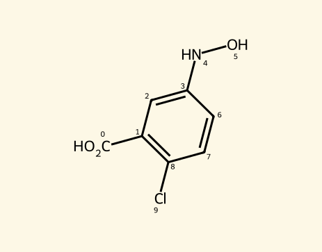 O=C(O)c1cc(NO)ccc1Cl